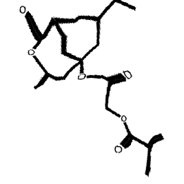 C=C(C)C(=O)OCC(=O)OC12CC(CC)CC(C1)C(=O)OC(C)C2